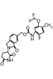 Cc1cc(F)c(NC(=O)OCc2ccc3c(c2)C(=O)N(C2CCC(=O)NC2=O)C3)cc1OC(F)F